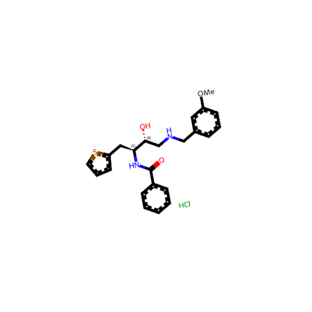 COc1cccc(CNC[C@@H](O)[C@H](Cc2cccs2)NC(=O)c2ccccc2)c1.Cl